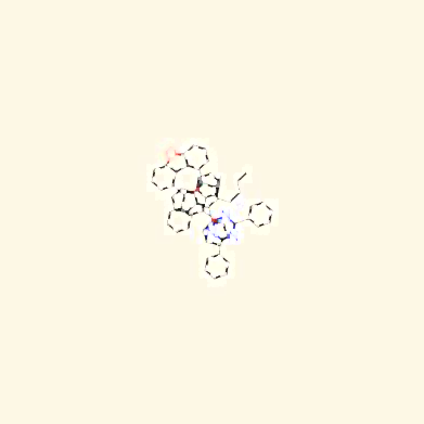 C=C/C=C\c1c(C)c(-c2cccc3oc4cccc(-c5c6ccccc6c(-c6nc(-c7ccccc7)nc(-c7ccccc7)n6)c6ccccc56)c4c23)c2ccccc2c1-c1ccccc1